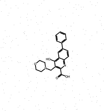 O=C(O)c1nc2ccc(-c3ccccc3)cc2c(O)c1CN1CCOCC1